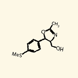 CSc1ccc(C2OC(C)=NC2CO)cc1